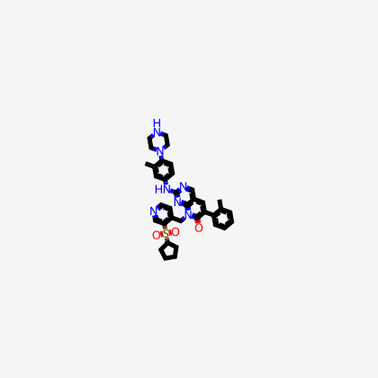 Cc1ccccc1-c1cc2cnc(Nc3ccc(N4CCNCC4)c(C)c3)nc2n(Cc2ccncc2S(=O)(=O)C2CCCC2)c1=O